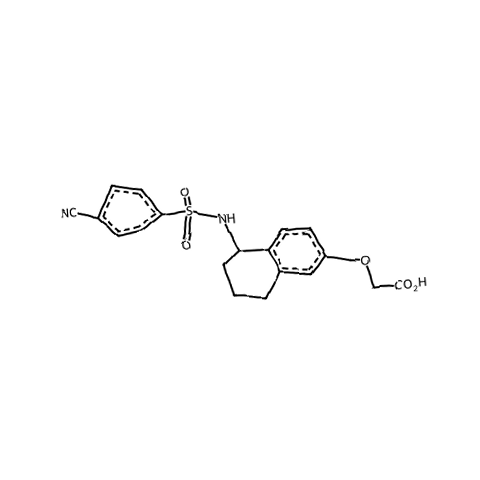 N#Cc1ccc(S(=O)(=O)NC2CCCc3cc(OCC(=O)O)ccc32)cc1